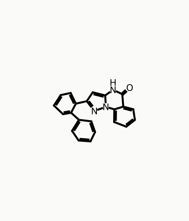 O=c1[nH]c2cc(-c3ccccc3-c3ccccc3)nn2c2ccccc12